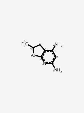 Nc1cc(N)c2c(n1)OC(C(F)(F)F)C2